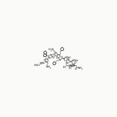 CCCCCCCCCCN(CC(=O)N(CC(=O)N(CCCCCCCCCC)CC(=O)N(CC(N)=O)CC(CC)CCCC)CC(CC)CCCC)C(=O)CN(CCc1ccccc1)C(=O)CN(CCc1ccccc1)C(=O)CN(CCN)C(=O)CN(CCc1ccccc1)C(=O)CN(CCc1ccccc1)C(=O)CN(CCN)C(=O)CNCCCO